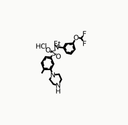 CCN(c1cccc(OC(F)F)c1)S(=O)(=O)c1ccc(C)c(N2CCNCC2)c1.Cl